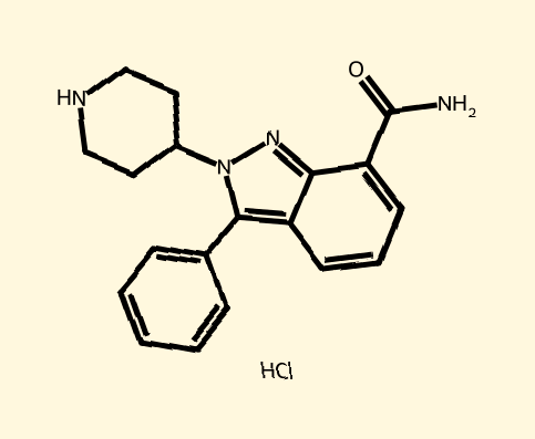 Cl.NC(=O)c1cccc2c(-c3ccccc3)n(C3CCNCC3)nc12